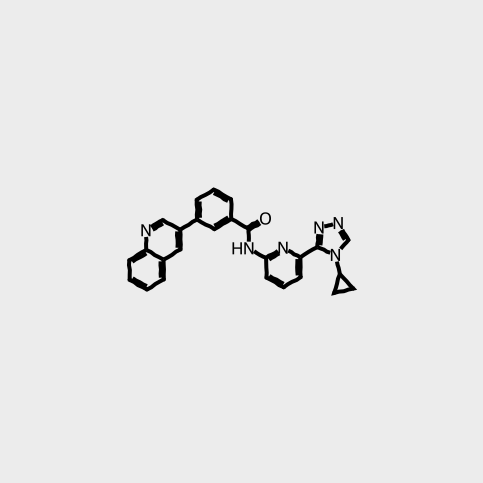 O=C(Nc1cccc(-c2nncn2C2CC2)n1)c1cccc(-c2cnc3ccccc3c2)c1